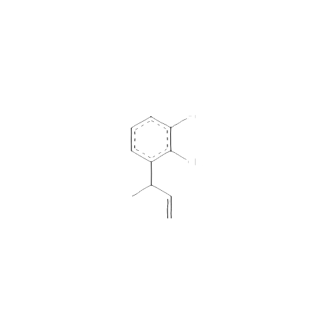 [CH2]C(C=C)c1cccc(CC)c1C(F)(F)F